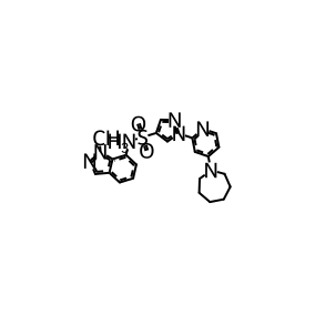 Cn1ncc2cccc(NS(=O)(=O)c3cnn(-c4cc(N5CCCCCC5)ccn4)c3)c21